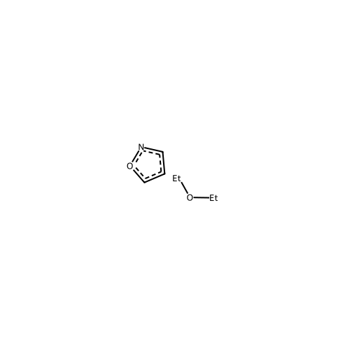 CCOCC.c1cnoc1